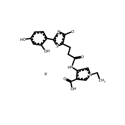 CCn1cc(NC(=O)CCc2sc(-c3ccc(O)cc3O)nc2Cl)c(C(=O)O)c1.[K]